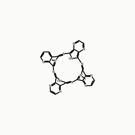 I[n+]1c2nc3[nH]c(nc4[n+](I)c(nc5[nH]c(nc1-c1ncccc1-2)c1nccnc51)-c1nccnc1-4)c1nccnc31